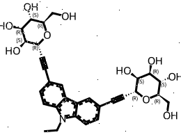 CCn1c2ccc(C#C[C@H]3O[C@H](CO)[C@@H](O)[C@H](O)[C@@H]3O)cc2c2cc(C#C[C@H]3O[C@H](CO)[C@@H](O)[C@H](O)[C@@H]3O)ccc21